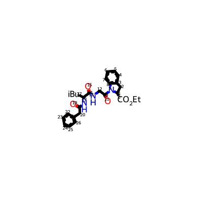 CCOC(=O)C1Cc2ccccc2N1C(=O)CNC(=O)C(NC(=O)Cc1ccccc1)C(C)CC